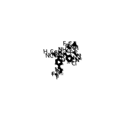 CC(C)(C#N)C[C@]1(c2ccc(-c3ccn(C(F)F)n3)cc2)NC(=N)N([C@H](COC(=O)NC2(C(F)(F)F)CC2)c2ccc(Cl)c(-n3ncnc3C(F)F)c2)C1=O